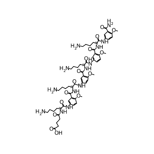 COc1ccc(NC(=O)[C@H](CCCCN)NC(=O)c2cc(NC(=O)[C@H](CCCCN)NC(=O)c3cc(NC(=O)[C@H](CCCCN)NC(=O)c4cc(NC(=O)[C@H](CCCCN)NC(=O)CCCC(=O)O)ccc4OC)ccc3OC)ccc2OC)cc1C(N)=O